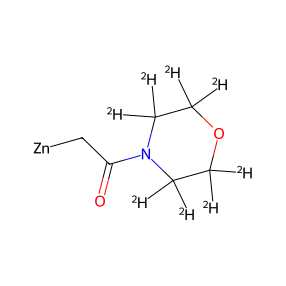 [2H]C1([2H])OC([2H])([2H])C([2H])([2H])N(C(=O)[CH2][Zn])C1([2H])[2H]